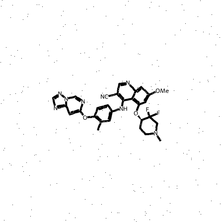 COc1cc(O[C@@H]2CCN(C)CC2(F)F)c2c(Nc3ccc(Oc4cc5ncnn5cn4)c(C)c3)c(C#N)cnc2c1